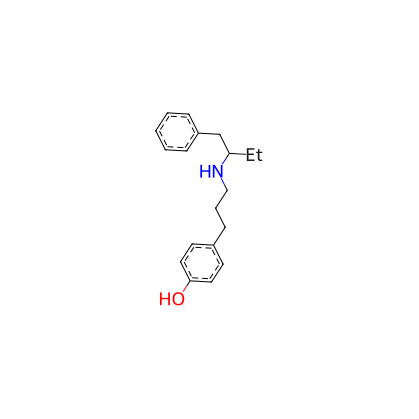 CCC(Cc1ccccc1)NCCCc1ccc(O)cc1